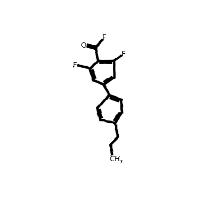 CCCc1ccc(-c2cc(F)c(C(=O)F)c(F)c2)cc1